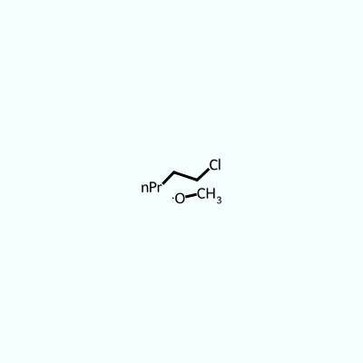 CCCCCCl.C[O]